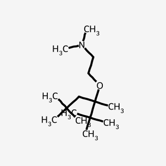 CN(C)CCOC(C)(CC(C)(C)C)C(C)(C)C